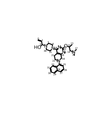 C=CC(O)N1CCN(c2nc(OC(C)CN(C)C)nc3c2CCN(c2cccc4ccccc24)C3)CC1